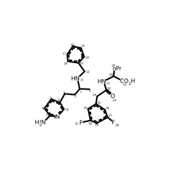 CC(CCc1ccc(N)nc1)NCc1ccccc1.CCCC(NC(=O)Cc1cc(F)cc(F)c1)C(=O)O